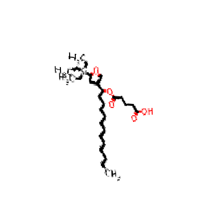 CCCCCCCCCCCCC(OC(=O)CCCC(=O)O)c1coc([Si](CC)(CC)CC)c1